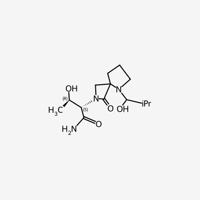 CC(C)C(O)N1CCCC12CN([C@H](C(N)=O)[C@@H](C)O)C2=O